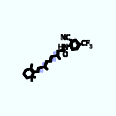 CC1=C(/C=C/C(C)=C/C=C/C(C)=C/C(=O)Nc2ccc(C(F)(F)F)cc2C#N)C(C)(C)CCC1